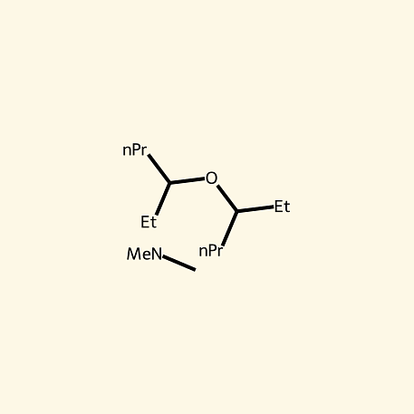 CCCC(CC)OC(CC)CCC.CNC